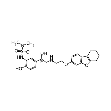 CN(C)S(=O)(=O)Nc1cc([C@@H](O)CNCCOc2ccc3c4c(oc3c2)CCCC4)ccc1O